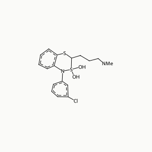 CNCCCC1Sc2ccccc2N(c2cccc(Cl)c2)S1(O)O